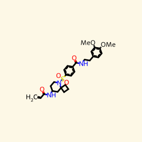 C=CC(=O)NC1CCN(S(=O)(=O)c2ccc(C(=O)NCCc3ccc(OC)c(OC)c3)cc2)C2(CCC2)C1